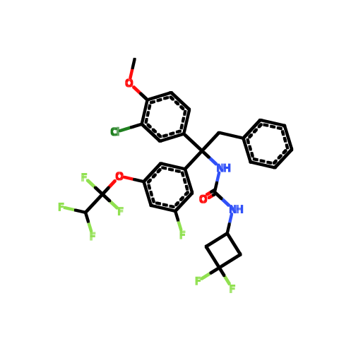 COc1ccc(C(Cc2ccccc2)(NC(=O)NC2CC(F)(F)C2)c2cc(F)cc(OC(F)(F)C(F)F)c2)cc1Cl